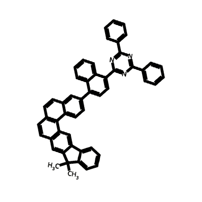 CC1(C)c2ccccc2-c2cc3c(ccc4ccc5cc(-c6ccc(-c7nc(-c8ccccc8)nc(-c8ccccc8)n7)c7ccccc67)ccc5c43)cc21